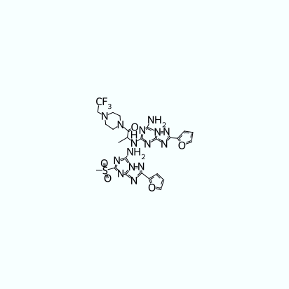 CC(Nc1nc(N)n2nc(-c3ccco3)nc2n1)C(=O)N1CCN(CC(F)(F)F)CC1.CS(=O)(=O)c1nc(N)n2nc(-c3ccco3)nc2n1